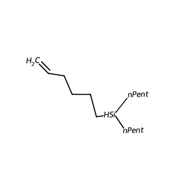 C=CCCCC[SiH](CCCCC)CCCCC